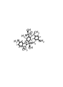 C#CC(N)(C(=O)CC(C)c1ccc(N)cc1)c1ccc(C(N)(C#C)C(=O)CC(C)c2ccc(N)cc2)cc1